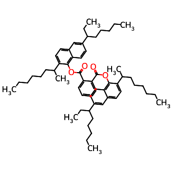 CCCCCCC(C)c1ccc2cc(C(CC)CCCCC)ccc2c1OC(=O)c1ccccc1C(=O)Oc1c(C(C)CCCCCC)ccc2cc(C(CC)CCCCC)ccc12